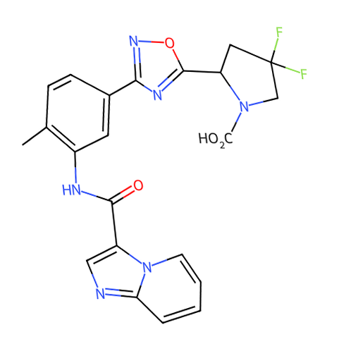 Cc1ccc(-c2noc(C3CC(F)(F)CN3C(=O)O)n2)cc1NC(=O)c1cnc2ccccn12